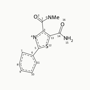 CNC(=O)c1nc(-c2ccccc2)sc1C(N)=O